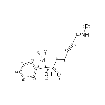 CCNCC#CCCC(=O)C(O)(c1ccccc1)C1CC1